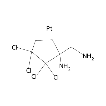 NCC1(N)CCC(Cl)(Cl)C1(Cl)Cl.[Pt]